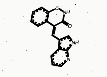 O=C1NSc2ccccc2C1=Cc1c[nH]c2ncccc12